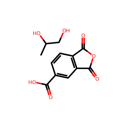 CC(O)CO.O=C(O)c1ccc2c(c1)C(=O)OC2=O